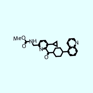 COC(=O)NCc1ccc(C2CC2)c(C(=O)C2CCC(c3cccc4ncccc34)CC2)n1